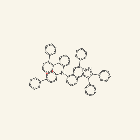 c1ccc(-c2ccc(N(c3ccccc3-c3ccccc3-c3ccccc3)c3cccc4c3cc(-c3ccccc3)n3nc(-c5ccccc5)c(-c5ccccc5)c43)cc2)cc1